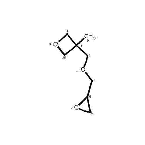 CC1(COCC2CO2)COC1